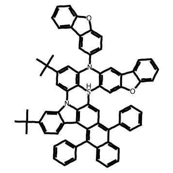 CC(C)(C)c1cc2c3c(c1)-n1c4cc(C(C)(C)C)ccc4c4c5c(-c6ccccc6)c6ccccc6c(-c6ccccc6)c5cc(c41)[SH]3c1cc3oc4ccccc4c3cc1N2c1ccc2oc3ccccc3c2c1